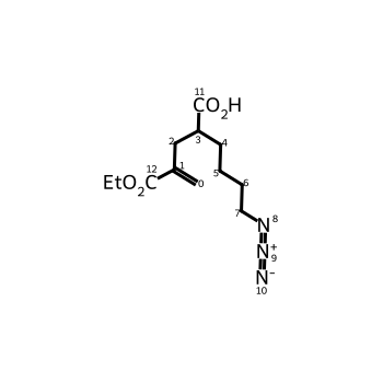 C=C(CC(CCCCN=[N+]=[N-])C(=O)O)C(=O)OCC